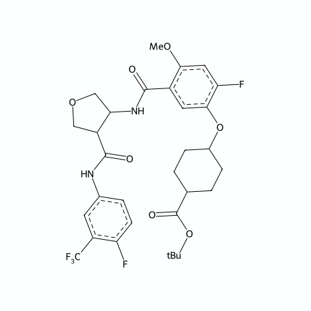 COc1cc(F)c(OC2CCC(C(=O)OC(C)(C)C)CC2)cc1C(=O)NC1COCC1C(=O)Nc1ccc(F)c(C(F)(F)F)c1